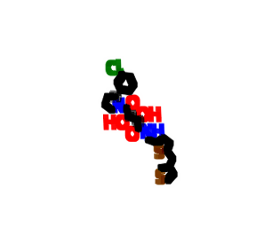 O=C(NCc1ccc(Cc2ccsc2)s1)[C@H](O)[C@@H](O)C(=O)N1CCC[C@@H]1c1cccc(Cl)c1